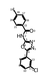 O=C(Nc1nnc(-c2cccc(Cl)c2)o1)c1ccc(I)cc1